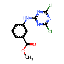 COC(=O)c1cccc(Nc2nc(Cl)nc(Cl)n2)c1